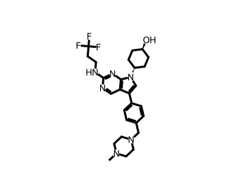 CN1CCN(Cc2ccc(-c3cn([C@H]4CC[C@H](O)CC4)c4nc(NCCC(F)(F)F)ncc34)cc2)CC1